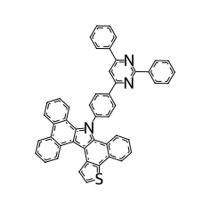 c1ccc(-c2cc(-c3ccc(-n4c5c6ccccc6c6ccccc6c5c5c6ccsc6c6ccccc6c54)cc3)nc(-c3ccccc3)n2)cc1